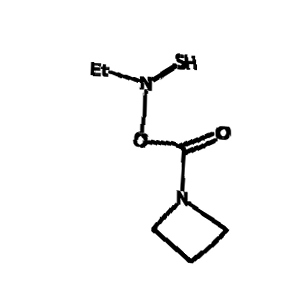 CCN(S)OC(=O)N1CCC1